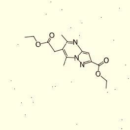 CCOC(=O)Cc1c(C)nc2cc(C(=O)OCC)nn2c1C